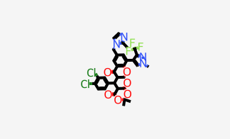 Cc1nccn1Cc1cc2c(c(-c3cn(C)nc3C(F)(F)F)c1)OCC(C(c1ccc(Cl)c(Cl)c1)C1C(=O)OC(C)(C)OC1=O)C2=O